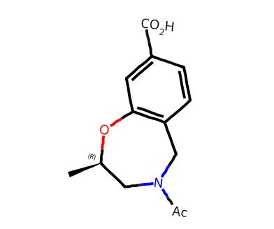 CC(=O)N1Cc2ccc(C(=O)O)cc2O[C@H](C)C1